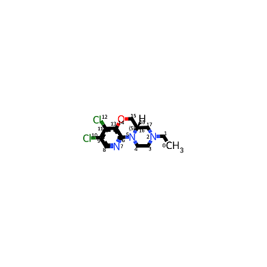 CCN1CCN2c3ncc(Cl)c(Cl)c3OC[C@@H]2C1